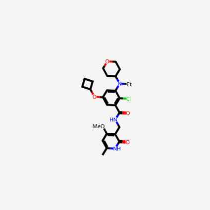 CCN(c1cc(OC2CCC2)cc(C(=O)NCc2c(OC)cc(C)[nH]c2=O)c1Cl)C1CCOCC1